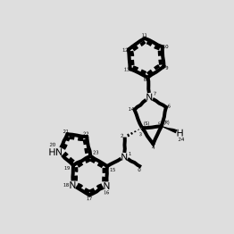 CN(C[C@@]12C[C@H]1CN(c1[c]cccc1)C2)c1ncnc2[nH]ccc12